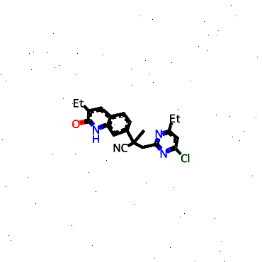 CCc1cc(Cl)nc(CC(C)(C#N)c2ccc3cc(CC)c(=O)[nH]c3c2)n1